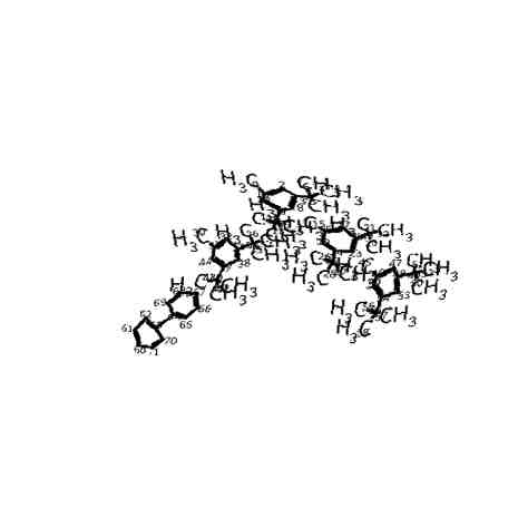 Cc1cc(C(C)(C)C)cc(C(C)(C)C)c1.Cc1cc(C(C)(C)C)cc(C(C)(C)C)c1.Cc1cc(C(C)(C)C)cc(C(C)(C)C)c1.Cc1cc(C(C)(C)C)cc(C(C)(C)C)c1.c1ccc(-c2ccccc2)cc1